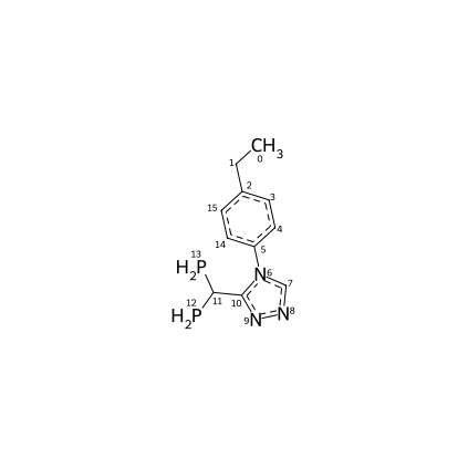 CCc1ccc(-n2cnnc2C(P)P)cc1